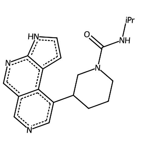 CC(C)NC(=O)N1CCCC(c2cncc3cnc4[nH]ccc4c23)C1